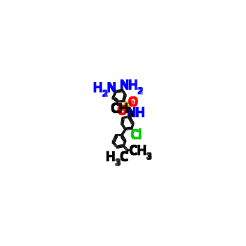 Cc1cc(N)c(N)cc1S(=O)(=O)Nc1ccc(-c2cccc(C(C)C)c2)c(Cl)c1